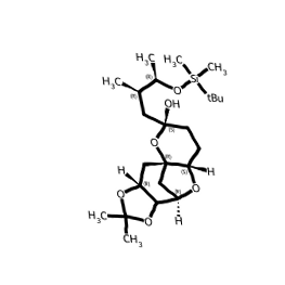 C[C@H](C[C@]1(O)CC[C@@H]2O[C@@H]3C[C@]2(C[C@H]2OC(C)(C)OC32)O1)[C@@H](C)O[Si](C)(C)C(C)(C)C